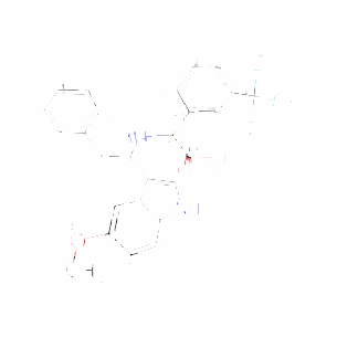 COc1ccc2[nH]cc(C(Cc3ccccc3)NC(C(=O)O)c3cccc(C(F)(F)F)c3)c2c1